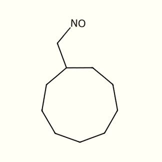 O=NCC1CCCCCCCC1